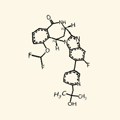 CC(C)(O)c1ccc(-c2cc3c(cc2F)nc2n3[C@H]3C[C@@H]2NC(=O)c2cccc(OC(F)F)c23)cn1